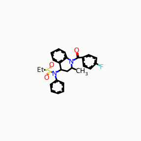 CCS(=O)(=O)N(c1ccccc1)C1CC(C)N(C(=O)c2ccc(F)cc2)c2ccccc21